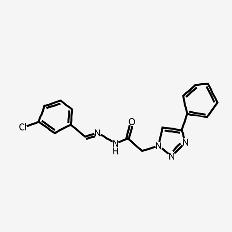 O=C(Cn1cc(-c2ccccc2)nn1)NN=Cc1cccc(Cl)c1